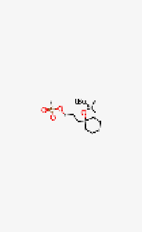 CC(C)(C)[Si](C)(C)OC1(CCCOS(C)(=O)=O)CCCCC1